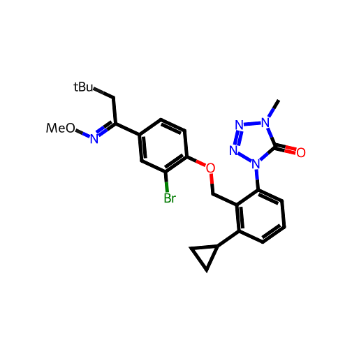 CON=C(CC(C)(C)C)c1ccc(OCc2c(C3CC3)cccc2-n2nnn(C)c2=O)c(Br)c1